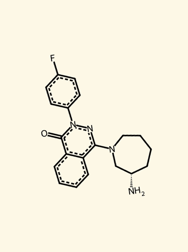 N[C@H]1CCCCN(c2nn(-c3ccc(F)cc3)c(=O)c3ccccc23)C1